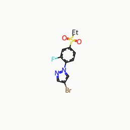 CCS(=O)(=O)c1ccc(-n2cc(Br)cn2)c(F)c1